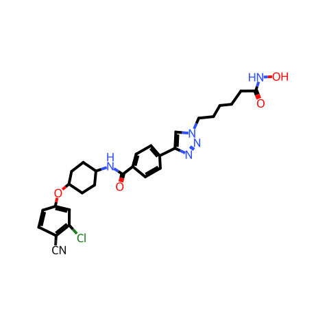 N#Cc1ccc(OC2CCC(NC(=O)c3ccc(-c4cn(CCCCCC(=O)NO)nn4)cc3)CC2)cc1Cl